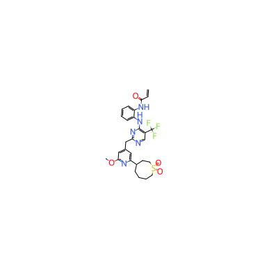 C=CC(=O)Nc1ccccc1Nc1nc(Cc2cc(OC)nc(C3CCCCS(=O)(=O)CC3)c2)ncc1C(F)(F)F